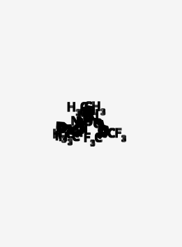 CN1C=Nc2c(ncn2[C@@H]2O[C@H](COCc3cc(C(F)(F)F)cc(C(F)(F)F)c3)[C@H]3OC(C)(C)O[C@H]32)C1N(C)Cc1cccc(F)c1